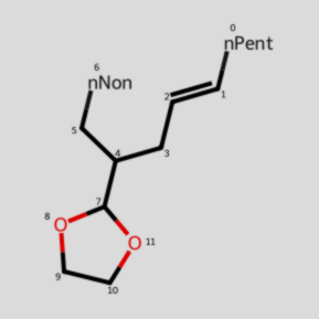 CCCCCC=CCC(CCCCCCCCCC)C1OCCO1